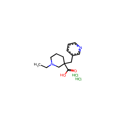 CCN1CCCC(Cc2cccnc2)(C(=O)O)C1.Cl.Cl